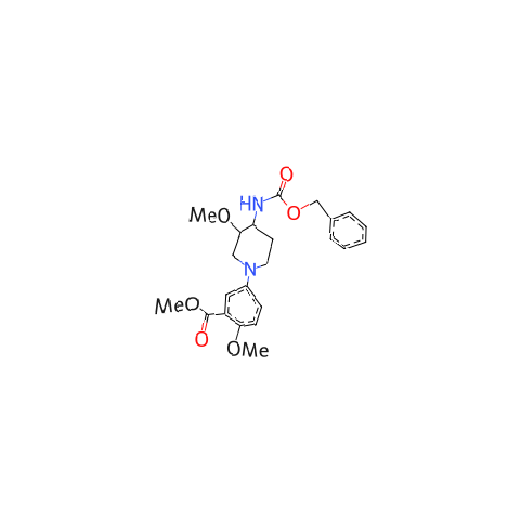 COC(=O)c1cc(N2CCC(NC(=O)OCc3ccccc3)C(OC)C2)ccc1OC